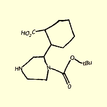 CC(C)(C)OC(=O)N1CCNCC1C1CCCCC1C(=O)O